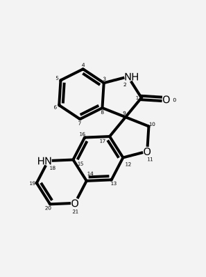 O=C1Nc2ccccc2C12COc1cc3c(cc12)NC=CO3